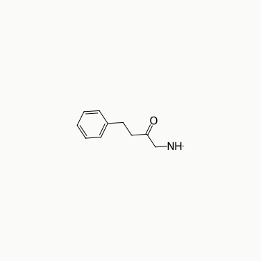 [NH]CC(=O)CCc1ccccc1